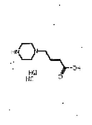 Cl.Cl.O=C(O)CCCN1CCNCC1